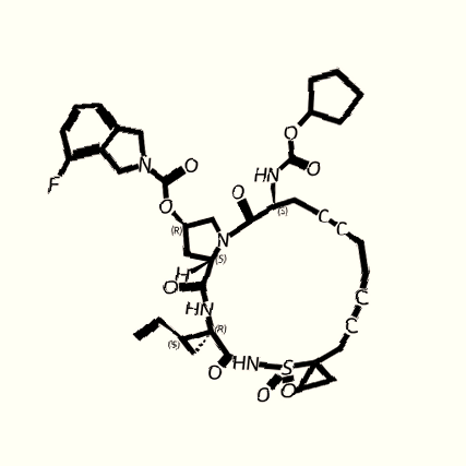 C=C[C@@H]1C[C@@]12NC(=O)[C@@H]1C[C@@H](OC(=O)N3Cc4cccc(F)c4C3)CN1C(=O)[C@@H](NC(=O)OC1CCCC1)CCCCCCCCC1(CC1)S(=O)(=O)NC2=O